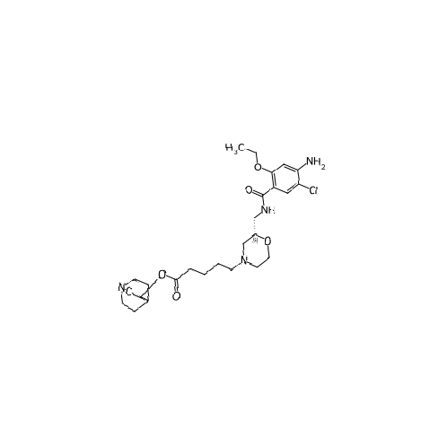 CCOc1cc(N)c(Cl)cc1C(=O)NC[C@H]1CN(CCCCC(=O)OC2CN3CCC2CC3)CCO1